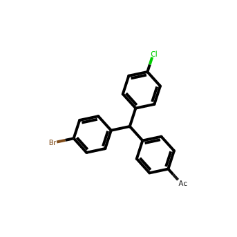 CC(=O)c1ccc([C](c2ccc(Cl)cc2)c2ccc(Br)cc2)cc1